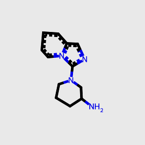 NC1CCCN(c2ncc3ccccn23)C1